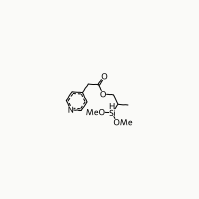 CO[SiH](OC)C(C)COC(=O)Cc1ccncc1